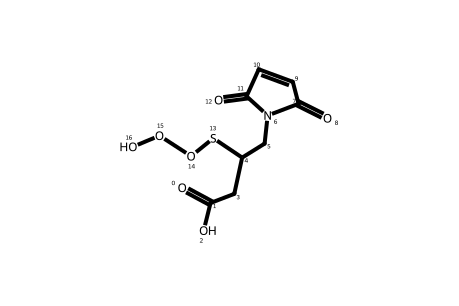 O=C(O)CC(CN1C(=O)C=CC1=O)SOOO